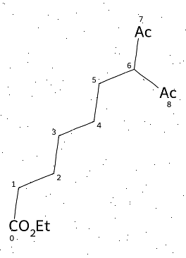 CCOC(=O)CCCCCC(C(C)=O)C(C)=O